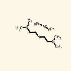 CC[CH2][Al+][CH2]CC.CN(C)CC[N-]CCN(C)C